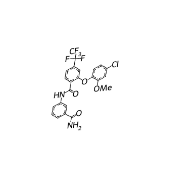 COc1cc(Cl)ccc1Oc1cc(C(F)(F)C(F)(F)F)ccc1C(=O)Nc1cccc(C(N)=O)c1